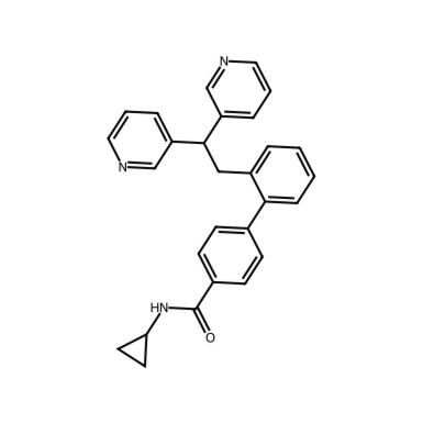 O=C(NC1CC1)c1ccc(-c2ccccc2CC(c2cccnc2)c2cccnc2)cc1